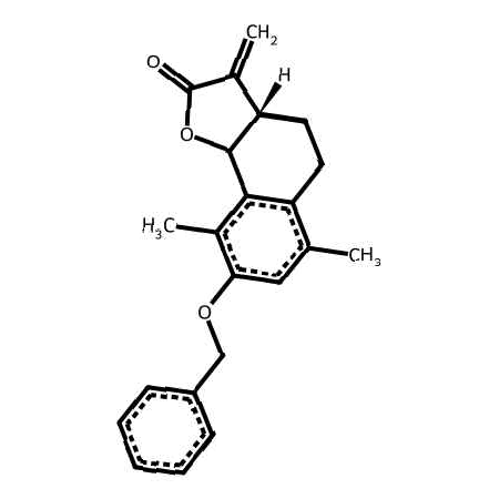 C=C1C(=O)OC2c3c(C)c(OCc4ccccc4)cc(C)c3CC[C@@H]12